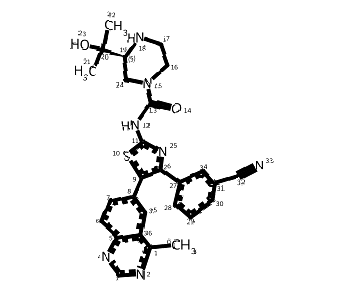 Cc1ncnc2ccc(-c3sc(NC(=O)N4CCN[C@H](C(C)(C)O)C4)nc3-c3cccc(C#N)c3)cc12